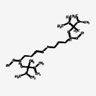 CCO[SiH](CCCSSCCC[SiH](OCC)OC(C)(N(C)C)N(C)C)OC(C)(N(C)C)N(C)C